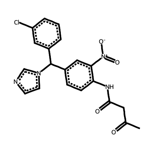 CC(=O)CC(=O)Nc1ccc(C(c2cccc(Cl)c2)n2ccnc2)cc1[N+](=O)[O-]